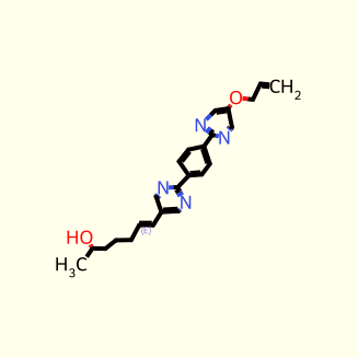 C=CCOc1cnc(-c2ccc(-c3ncc(/C=C/CCCC(C)O)cn3)cc2)nc1